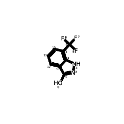 Oc1n[nH]c2c(C(F)(F)F)cccc12